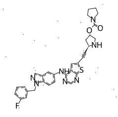 O=C(O[C@@H]1CN[C@@H](C#Cc2cc3c(Nc4ccc5c(cnn5Cc5cccc(F)c5)c4)ncnc3s2)C1)N1CCCC1